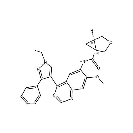 CCn1cc(-c2ncnc3cc(OC)c(NC(=O)[C@@]45COC[C@@H]4C5)cc23)c(-c2ccccc2)n1